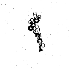 O=C1CCC(N2C(=O)c3cccc(NCc4cnn(C5CCN(C(=O)CC6CC6)CC5)c4)c3C2=O)C(=O)N1